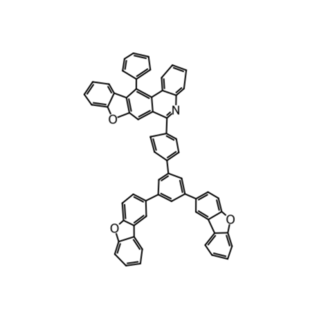 c1ccc(-c2c3c(cc4c(-c5ccc(-c6cc(-c7ccc8oc9ccccc9c8c7)cc(-c7ccc8oc9ccccc9c8c7)c6)cc5)nc5ccccc5c24)oc2ccccc23)cc1